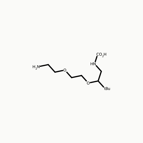 CC(C)(C)C(CNC(=O)O)OCCOCCN